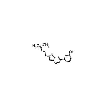 CN(C)CCCn1cc2ccc(-c3cccc(O)c3)cc2n1